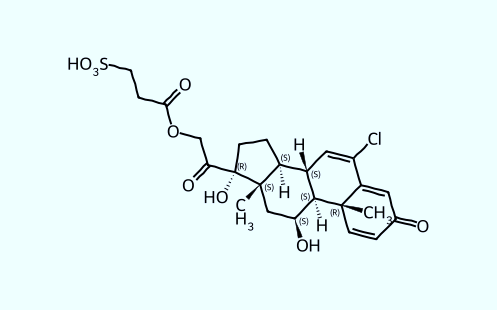 C[C@]12C=CC(=O)C=C1C(Cl)=C[C@@H]1[C@@H]2[C@@H](O)C[C@@]2(C)[C@H]1CC[C@]2(O)C(=O)COC(=O)CCS(=O)(=O)O